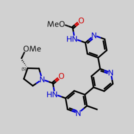 COC[C@H]1CCN(C(=O)Nc2cnc(C)c(-c3ccnc(-c4ccnc(NC(=O)OC)c4)c3)c2)C1